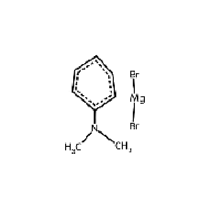 CN(C)c1[c]cccc1.[Br][Mg][Br]